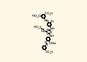 CCc1cc(Nc2nc(NCCS(=O)(=O)O)nc(Nc3ccc(/N=N/c4cccc(S(=O)(=O)O)c4)c(OC)c3)n2)ccc1/N=N/c1cc(C(=O)O)cc(C(=O)O)c1